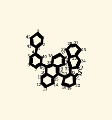 c1ccc(-c2cccc(-c3c4ccccc4c(-c4cccc5sc6cc7ccccc7cc6c45)c4ccccc34)c2)cc1